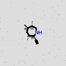 C#C[C@@H]1NC[C@@H](C)[C@H](C)C[C@H]1C